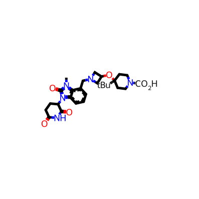 Cn1c(=O)n(C2CCC(=O)NC2=O)c2cccc(CN3CC(OC4(C(C)(C)C)CCN(C(=O)O)CC4)C3)c21